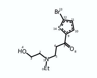 CCN(CCO)CCC(=O)c1ccc(Br)s1